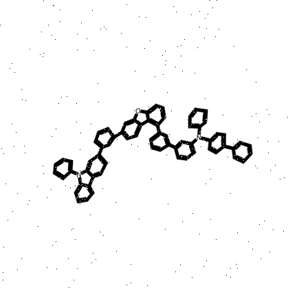 c1ccc(-c2ccc(N(c3ccccc3)c3cccc(-c4cccc(-c5cccc6oc7cc(-c8cccc(-c9ccc%10c%11ccccc%11n(-c%11ccccc%11)c%10c9)c8)ccc7c56)c4)c3)cc2)cc1